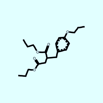 CCCOC(=O)CC(Cc1ccc(OCCC)cc1)C(=O)OCCC